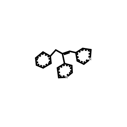 C(=C(Cc1ccccc1)c1ccncc1)c1ccncc1